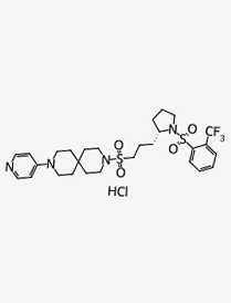 Cl.O=S(=O)(CCC[C@@H]1CCCN1S(=O)(=O)c1ccccc1C(F)(F)F)N1CCC2(CCN(c3ccncc3)CC2)CC1